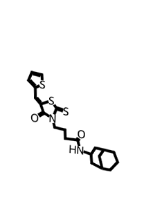 O=C(CCCN1C(=O)/C(=C/c2cccs2)SC1=S)NC1CC2CCCC(C2)C1